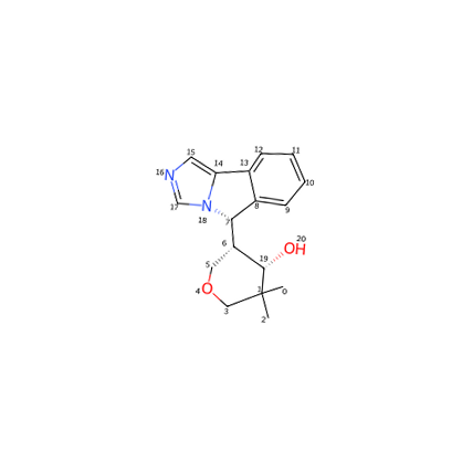 CC1(C)COC[C@H]([C@H]2c3ccccc3-c3cncn32)[C@@H]1O